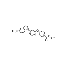 CC(C)OC(=O)N1CCC(Oc2cc(N3CCc4cc(N)ccc43)ncn2)CC1